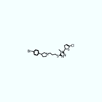 Cn1c(SCCCN2CCC(c3ccc(Br)cc3)C2)nnc1C1CC=C(Cl)S1